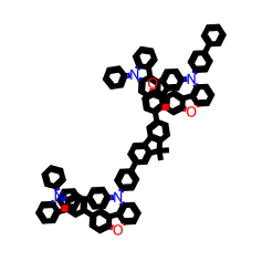 CC1(C)c2ccc(-c3ccc4oc5ccc(N(c6ccc(-c7ccccc7)cc6)c6cccc7oc8ccc(-c9ccc%10c(c9)c9ccccc9n%10-c9ccccc9)cc8c67)cc5c4c3)cc2-c2ccc(-c3ccc(N(c4ccc(-c5ccccc5)cc4)c4cccc5oc6ccc(-c7ccc8c(c7)c7ccccc7n8-c7ccccc7)cc6c45)cc3)cc21